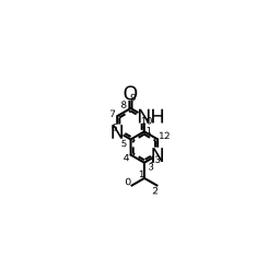 CC(C)c1cc2ncc(=O)[nH]c2cn1